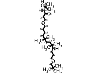 CC(C)(C)COCCCNC(C)(C)CCC(C)(C)CCCCOCCC(=O)NC(C)(C)C